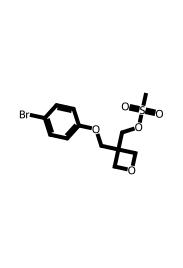 CS(=O)(=O)OCC1(COc2ccc(Br)cc2)COC1